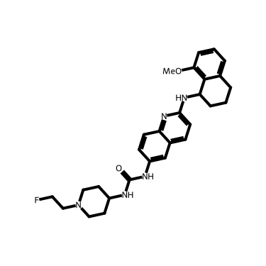 COc1cccc2c1C(Nc1ccc3cc(NC(=O)NC4CCN(CCF)CC4)ccc3n1)CCC2